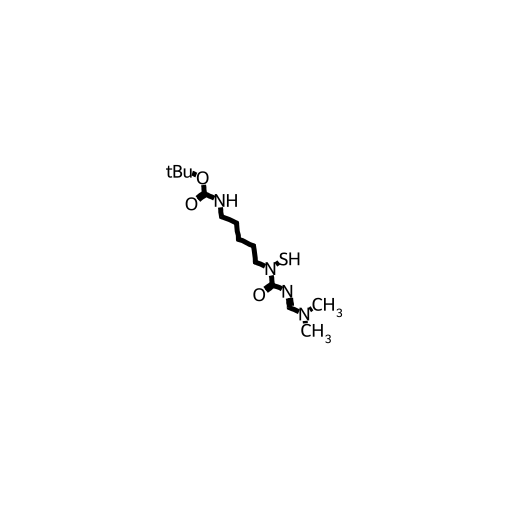 CN(C)C=NC(=O)N(S)CCCCCNC(=O)OC(C)(C)C